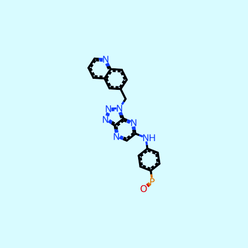 O=Pc1ccc(Nc2cnc3nnn(Cc4ccc5ncccc5c4)c3n2)cc1